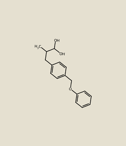 CC(Cc1ccc(COc2ccccc2)cc1)C(O)O